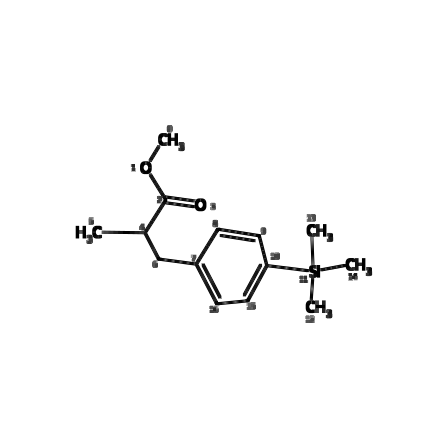 COC(=O)C(C)Cc1ccc([Si](C)(C)C)cc1